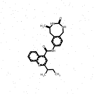 C=C1Cc2cc(NC(=O)c3cc(C(C)CC)nc4ccccc34)ccc2CNC(=O)N1